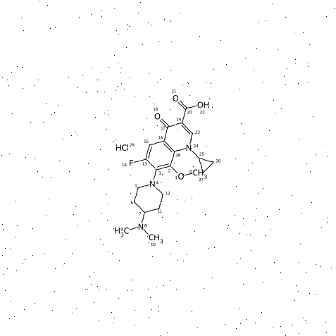 COc1c(N2CCC(N(C)C)CC2)c(F)cc2c(=O)c(C(=O)O)cn(C3CC3)c12.Cl